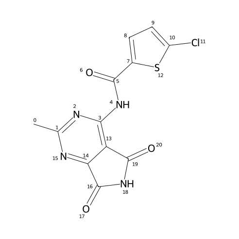 Cc1nc(NC(=O)c2ccc(Cl)s2)c2c(n1)C(=O)NC2=O